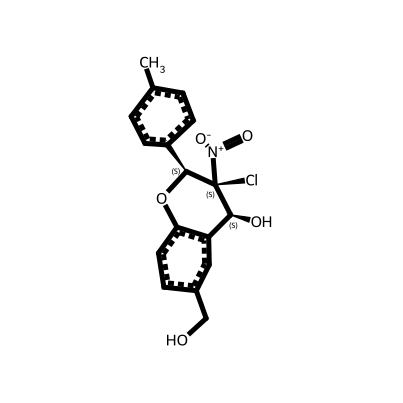 Cc1ccc([C@@H]2Oc3ccc(CO)cc3[C@H](O)[C@@]2(Cl)[N+](=O)[O-])cc1